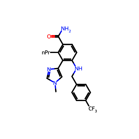 CCCc1c(C(N)=O)ccc(NCc2ccc(C(F)(F)F)cc2)c1-c1cn(C)cn1